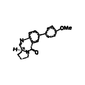 COc1ccc(-c2ccc3c(c2)C(=O)N2CCC[C@H]2C=N3)cc1